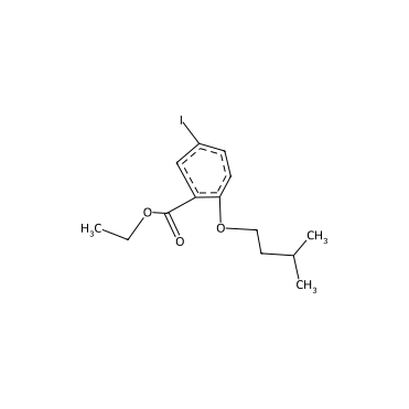 CCOC(=O)c1cc(I)ccc1OCCC(C)C